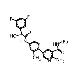 Cc1cc(NC(=O)[C@@H](O)c2cc(F)cc(F)c2)ccc1-c1cnc(N)c(C(=O)NC(C)(C)C)c1